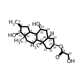 C=C1CC2C3C(CC[C@]2(C)[C@H]1O)[C@@]1(C)CC[C@H](OC(=O)CO)C[C@H]1C[C@@H]3O